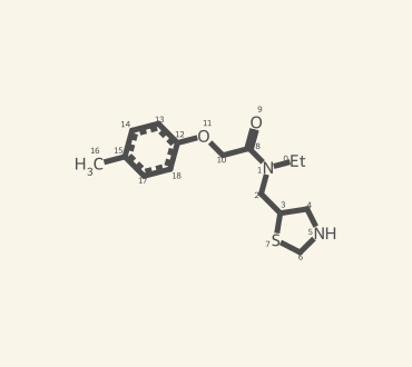 CCN(CC1CNCS1)C(=O)COc1ccc(C)cc1